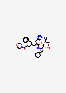 C=C[C@@H](C[C@H](O)[C@H](CC1CCCCC1)NC(=O)[C@H](Cc1c[nH]cn1)CC(CCC(=O)N1CCOCC1)Cc1ccccc1)C(C)C